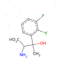 CC(O)(c1cccc(F)c1F)C(N)C(=O)O